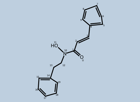 O=C(C=Cc1ccccc1)N(O)CCc1ccccc1